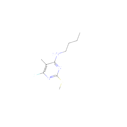 CCCCNc1nc(SC)nc(F)c1C